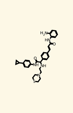 Nc1ccccc1NC(=O)C=Cc1ccc(C(NCCN2CCSCC2)C(=O)Nc2ccc(C3CC3)cc2)cc1